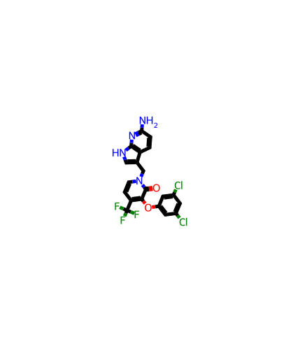 Nc1ccc2c(Cn3ccc(C(F)(F)F)c(Oc4cc(Cl)cc(Cl)c4)c3=O)c[nH]c2n1